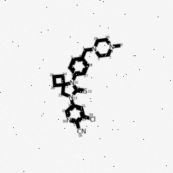 CN1CCN(Cc2ccc(N3C(=S)N(c4cnc(C#N)c(Cl)c4)CC34CCC4)cc2)CC1